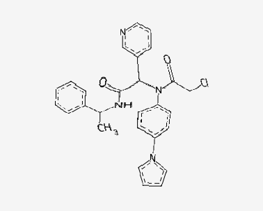 CC(NC(=O)C(c1cccnc1)N(C(=O)CCl)c1ccc(-n2cccc2)cc1)c1ccccc1